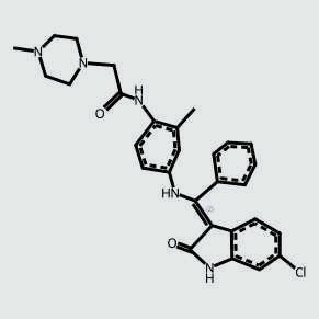 Cc1cc(N/C(=C2\C(=O)Nc3cc(Cl)ccc32)c2ccccc2)ccc1NC(=O)CN1CCN(C)CC1